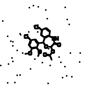 COc1cc(Cl)cc(C2OC(OC(C)=O)C(=O)Nc3ccc(Cl)cc32)c1OC